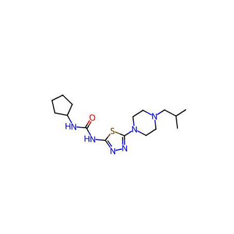 CC(C)CN1CCN(c2nnc(NC(=O)NC3CCCC3)s2)CC1